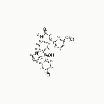 CCOc1cccc(-c2cc(=O)n(C)c3ccc(C(O)(c4ccc(Cl)cc4)c4cncn4C)cc23)c1